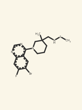 CSNCC1(C)CCCN(c2ncnc3cc(F)c(Br)cc23)C1